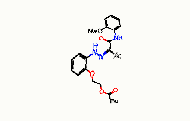 CCC(C)C(=O)OCCOc1ccccc1N/N=C(/C(C)=O)C(=O)Nc1ccccc1OC